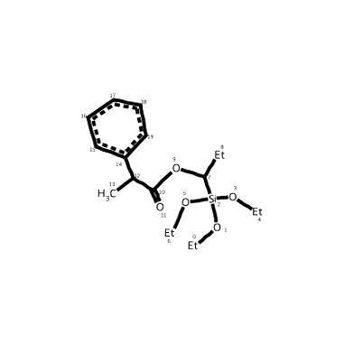 CCO[Si](OCC)(OCC)C(CC)OC(=O)C(C)c1ccccc1